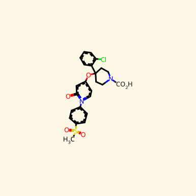 CS(=O)(=O)c1ccc(-n2ccc(OC3(c4ccccc4Cl)CCN(C(=O)O)CC3)cc2=O)cc1